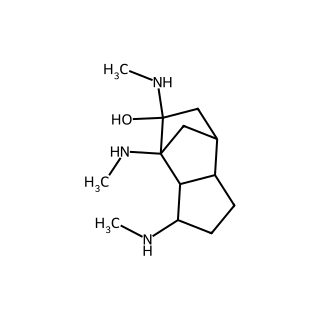 CNC1CCC2C3CC(O)(NC)C(NC)(C3)C12